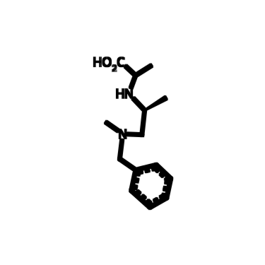 CC(N[C@@H](C)CN(C)Cc1ccccc1)C(=O)O